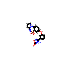 O=c1[nH]c(-c2cccc(Oc3ccc4c(c3)S(=O)(=O)N=C3CCCN34)c2)no1